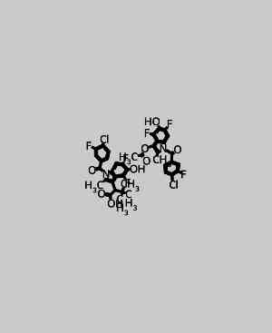 CC(=O)Oc1c(C)n(C(=O)c2ccc(Cl)c(F)c2)c2cc(F)c(O)c(F)c12.Cc1c(C(C(=O)O)C(C)(C)C)c2c(F)c(O)c(F)cc2n1C(=O)c1ccc(Cl)c(F)c1